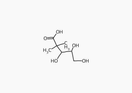 CC(C)(C(=O)O)C(O)C(O)CO